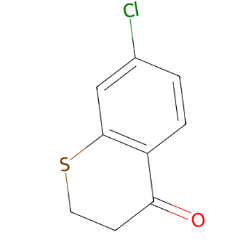 O=C1CCSc2cc(Cl)ccc21